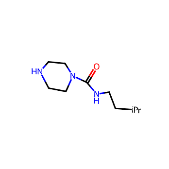 CC(C)CCNC(=O)N1CCNCC1